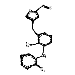 Cc1ccccc1Nc1cccc(Cc2csc(C=O)c2)c1Cl